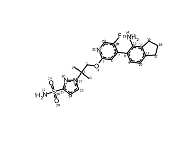 CC(C)(COc1cc(-c2ccc3c(c2N)CCC3)c(F)cn1)n1ccc(S(N)(=O)=O)n1